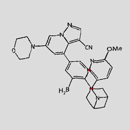 Bc1cc(-c2cc(N3CCOCC3)cn3ncc(C#N)c23)cnc1N1CC2CC(C1)N2Cc1ccc(OC)nc1